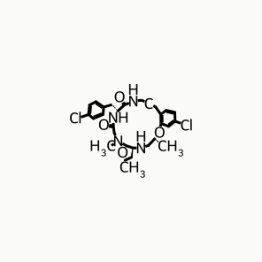 CCC[C@@H]1NC[C@@H](C)Oc2cc(Cl)ccc2CCCNC(=O)[C@@H](Cc2ccc(Cl)cc2)NC(=O)CN(C)C1=O